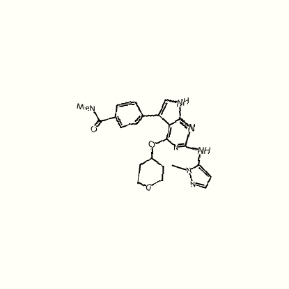 CNC(=O)c1ccc(-c2c[nH]c3nc(Nc4ccnn4C)nc(OC4CCOCC4)c23)cc1